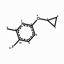 Cc1nc(OC2CC2)ccc1F